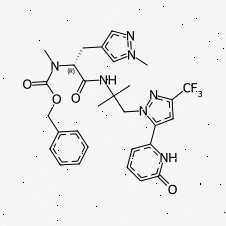 CN(C(=O)OCc1ccccc1)[C@H](Cc1cnn(C)c1)C(=O)NC(C)(C)Cn1nc(C(F)(F)F)cc1-c1cccc(=O)[nH]1